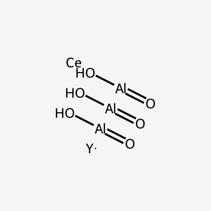 [Ce].[O]=[Al][OH].[O]=[Al][OH].[O]=[Al][OH].[Y]